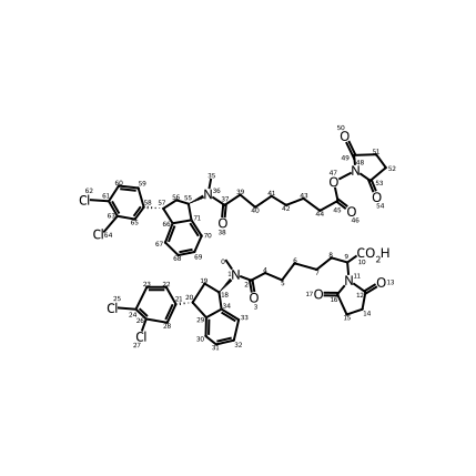 CN(C(=O)CCCCCC(C(=O)O)N1C(=O)CCC1=O)[C@@H]1C[C@@H](c2ccc(Cl)c(Cl)c2)c2ccccc21.CN(C(=O)CCCCCCC(=O)ON1C(=O)CCC1=O)[C@@H]1C[C@@H](c2ccc(Cl)c(Cl)c2)c2ccccc21